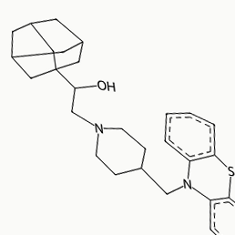 OC(CN1CCC(CN2c3ccccc3Sc3ccccc32)CC1)C12CC3CC(CC(C3)C1)C2